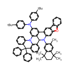 Cc1cc2c(cc1N1c3cc4oc5ccccc5c4cc3-c3cc(N(c4ccc(C(C)(C)C)cc4)c4ccc(C(C)(C)C)cc4)cc4c3C1c1cccc3c1N4c1ccccc1C3(c1ccccc1)c1ccccc1)C(C)(C)CCC2(C)C